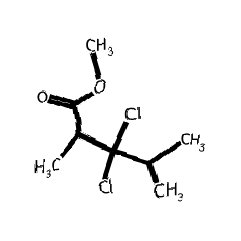 COC(=O)C(C)C(Cl)(Cl)C(C)C